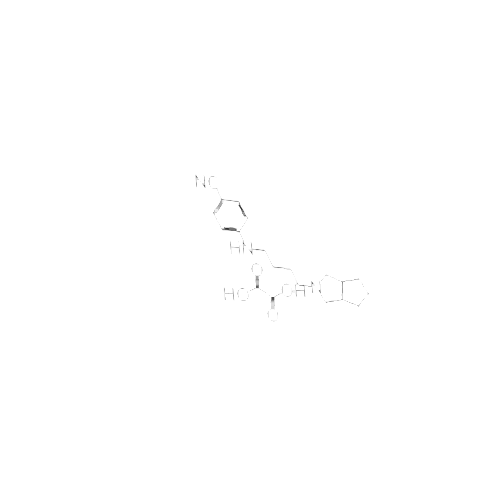 N#Cc1ccc(NCCCCN2CC3CCCC3C2)cc1.O=C(O)C(=O)O